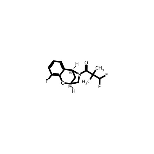 CC(C)(C(=O)N1C[C@@H]2C[C@H]1c1cccc(F)c1O2)C(F)F